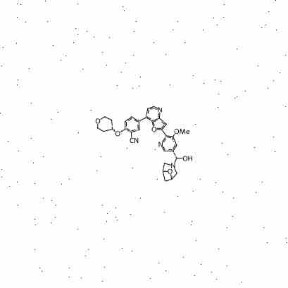 COc1cc(C(O)N2CC3CC(C2)O3)cnc1-c1cc2nccc(-c3ccc(OC4CCOCC4)c(C#N)c3)c2o1